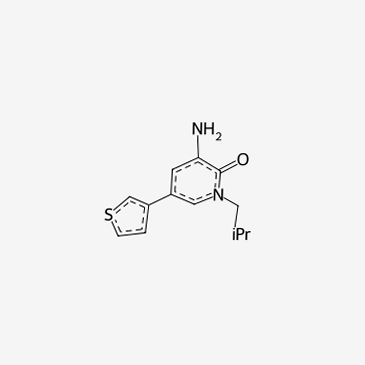 CC(C)Cn1cc(-c2ccsc2)cc(N)c1=O